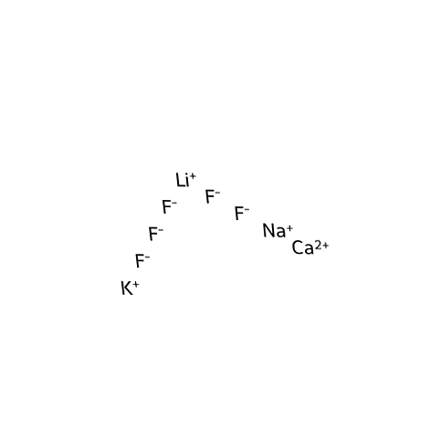 [Ca+2].[F-].[F-].[F-].[F-].[F-].[K+].[Li+].[Na+]